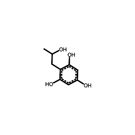 CC(O)Cc1c(O)cc(O)cc1O